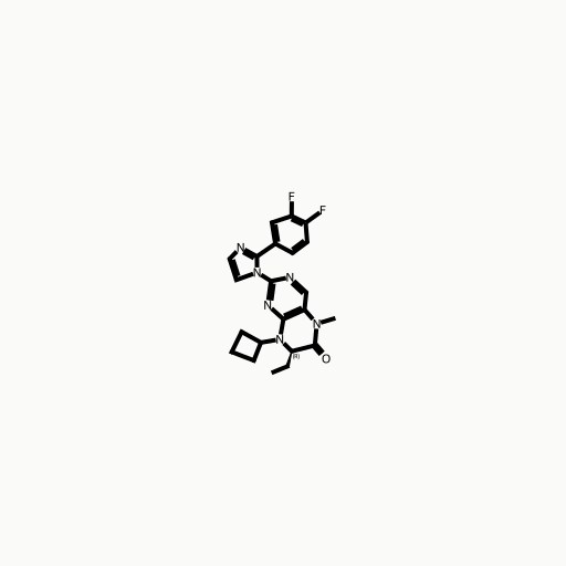 CC[C@@H]1C(=O)N(C)c2cnc(-n3ccnc3-c3ccc(F)c(F)c3)nc2N1C1CCC1